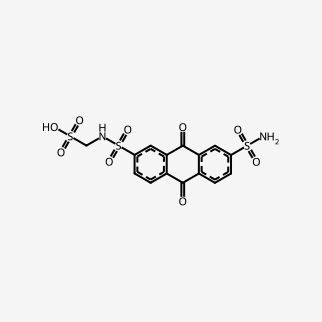 NS(=O)(=O)c1ccc2c(c1)C(=O)c1cc(S(=O)(=O)NCS(=O)(=O)O)ccc1C2=O